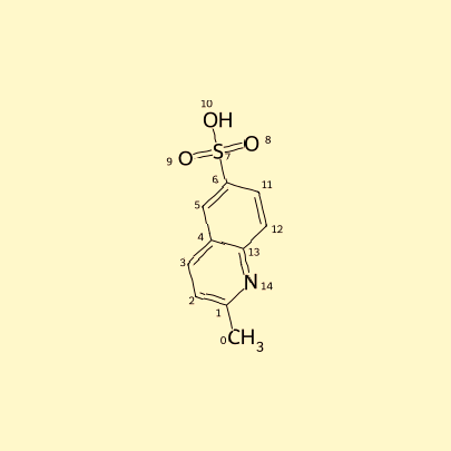 Cc1ccc2cc(S(=O)(=O)O)ccc2n1